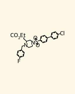 CCOC(=O)CC1CN(S(=O)(=O)c2ccc(-c3ccc(Cl)cc3)cc2)CCN1Cc1ccc(F)cc1